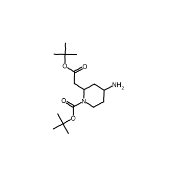 CC(C)(C)OC(=O)CC1CC(N)CCN1C(=O)OC(C)(C)C